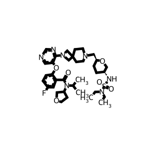 CCN(CC)S(=O)(=O)N[C@@H]1CC[C@@H](CN2CCC3(CC2)CN(c2ncncc2Oc2ccc(F)cc2C(=O)N(C(C)C)C2CCOC2)C3)OC1